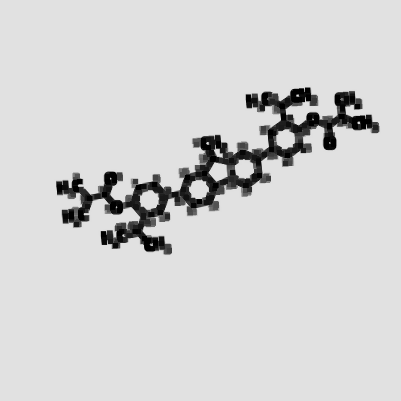 C=C(C)C(=O)Oc1ccc(-c2ccc3c(c2)C(=C)c2cc(-c4ccc(OC(=O)C(=C)C)c(C(=C)C)c4)ccc2-3)cc1C(=C)C